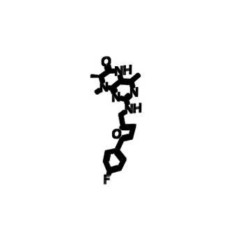 Cc1nc(NCc2ccc(-c3ccc(F)cc3)o2)nc2c1NC(=O)[C@H](C)N2C